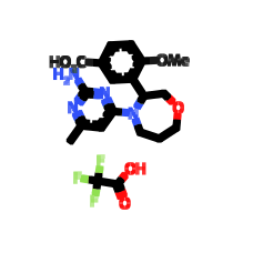 COc1ccc(C(=O)O)cc1C1COCCCN1c1cc(C)nc(N)n1.O=C(O)C(F)(F)F